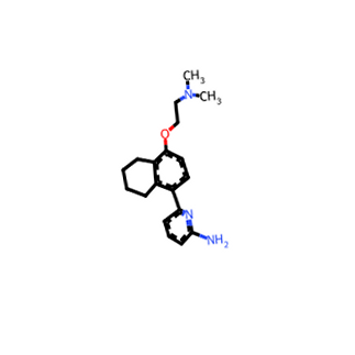 CN(C)CCOc1ccc(-c2cccc(N)n2)c2c1CCCC2